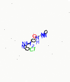 Nc1ncc2ccc(Cl)cc2c1C#Cc1ccc(C(=O)NCCCn2nnc3ccccc32)cc1